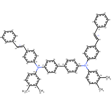 Cc1ccc(N(c2ccc(/C=C/c3ccccc3)cc2)c2ccc(-c3ccc(N(c4ccc(/C=C/c5ccccc5)cc4)c4ccc(C)c(C)c4)cc3)cc2)cc1C